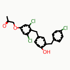 CC(=O)COc1cc(Cl)c(Cc2ccc(O)c(Cc3ccc(Cl)cc3)c2)c(Cl)c1